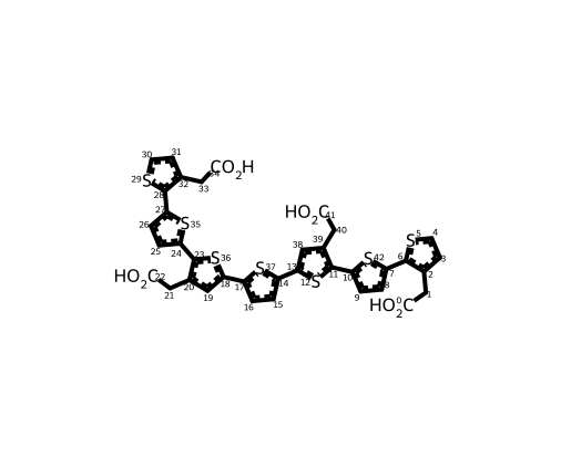 O=C(O)Cc1ccsc1-c1ccc(-c2sc(-c3ccc(-c4cc(CC(=O)O)c(-c5ccc(-c6sccc6CC(=O)O)s5)s4)s3)cc2CC(=O)O)s1